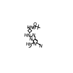 CCNc1nc(C#N)cc2cnc(NC3CC(C)(NOC(=O)C(C)(C)C)C3)nc12